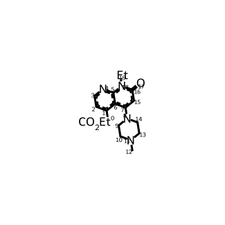 CCOC(=O)c1ccnc2c1c(N1CCN(C)CC1)cc(=O)n2CC